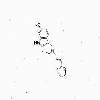 N#Cc1ccc2c3c([nH]c2c1)CCN(C/C=C/c1ccccc1)C3